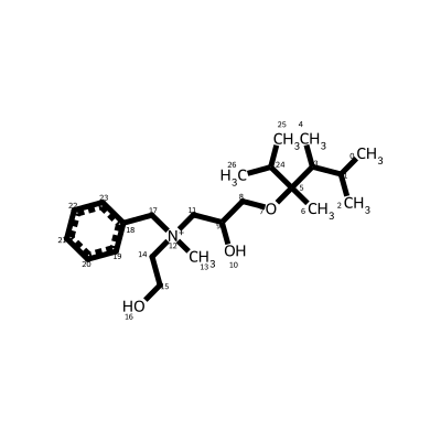 CC(C)C(C)C(C)(OCC(O)C[N+](C)(CCO)Cc1ccccc1)C(C)C